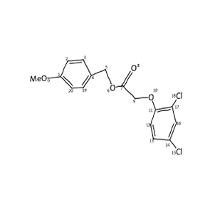 COc1ccc(COC(=O)COc2ccc(Cl)cc2Cl)cc1